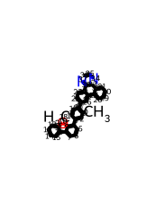 Cc1cc(-c2cccc3c2oc2ccccc23)c(C)cc1-c1ccc2c(c1)c1ccccc1c1nccnc21